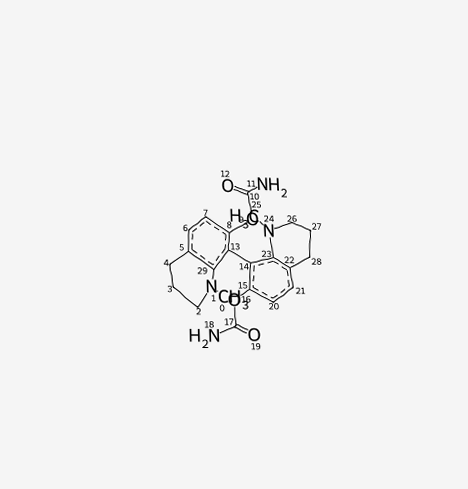 CN1CCCc2ccc(OC(N)=O)c(-c3c(OC(N)=O)ccc4c3N(C)CCC4)c21